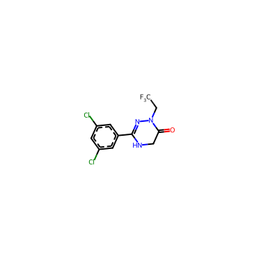 O=C1CNC(c2cc(Cl)cc(Cl)c2)=NN1CC(F)(F)F